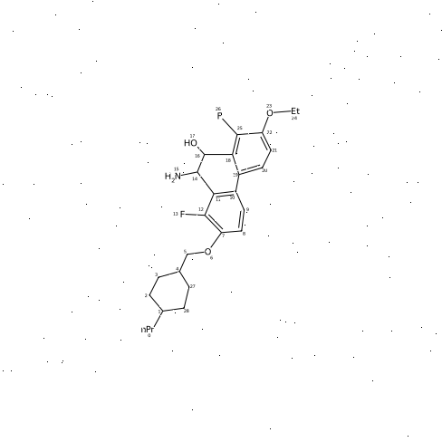 CCCC1CCC(COc2ccc3c(c2F)C(N)C(O)c2c-3ccc(OCC)c2F)CC1